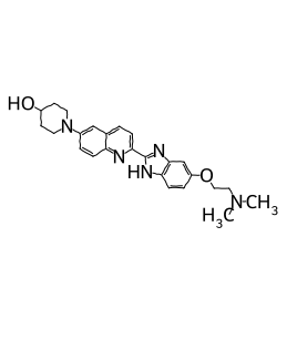 CN(C)CCOc1ccc2[nH]c(-c3ccc4cc(N5CCC(O)CC5)ccc4n3)nc2c1